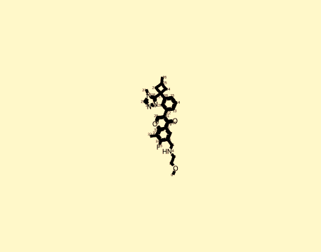 COCCNCc1cc2c(=O)c(-c3cccc(C4(c5nncn5C)CC(C)C4)c3)coc2c(C)c1F